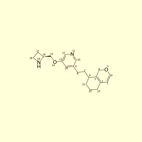 C1=CC2=C(CO1)C(CCc1cncc(OC[C@@H]3CCN3)c1)CCC2